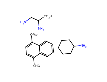 COc1ccc(C=O)c2ccccc12.NC1CCCCC1.NCC(N)C(=O)O